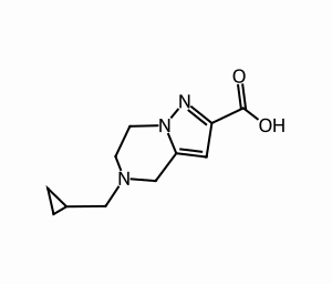 O=C(O)c1cc2n(n1)CCN(CC1CC1)C2